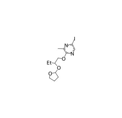 CCC(COc1ncc(I)nc1C)OC1CCCO1